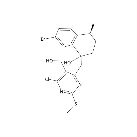 CSc1nc(Cl)c(CO)c(CC2(O)CC[C@H](C)c3ccc(Br)cc32)n1